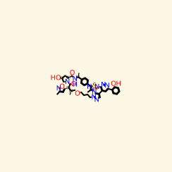 Cc1cc([C@H](C(=O)N2C[C@H](O)C[C@H]2C(=O)N[C@@H](C)c2ccc(-c3scnc3C)cc2)[C@H](C)COCCCCn2cc(-c3cc(-c4ccccc4O)nnc3N)cn2)on1